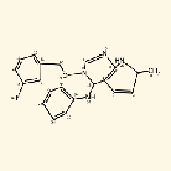 CC1C=CC2=C(N=CN(OCc3cccc(F)c3)C2Nc2ccccc2)N1